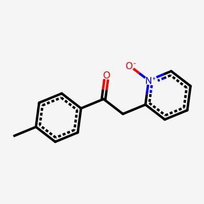 Cc1ccc(C(=O)Cc2cccc[n+]2[O-])cc1